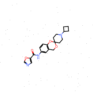 O=C(Nc1ccc2c(c1)COC1(CCN(C3CCC3)CC1)O2)c1cnco1